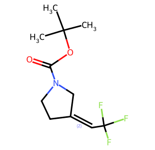 CC(C)(C)OC(=O)N1CC/C(=C/C(F)(F)F)C1